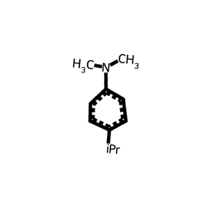 CC(C)c1ccc(N(C)C)cc1